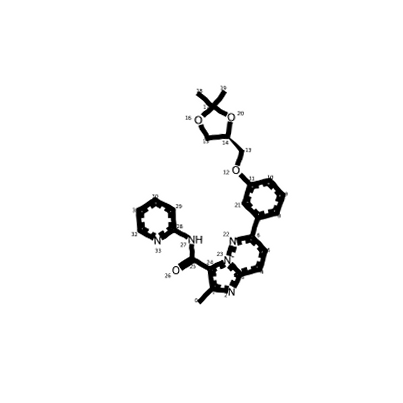 Cc1nc2ccc(-c3cccc(OC[C@H]4COC(C)(C)O4)c3)nn2c1C(=O)Nc1ccccn1